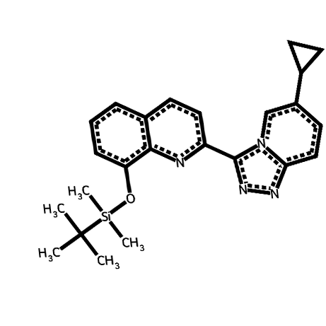 CC(C)(C)[Si](C)(C)Oc1cccc2ccc(-c3nnc4ccc(C5CC5)cn34)nc12